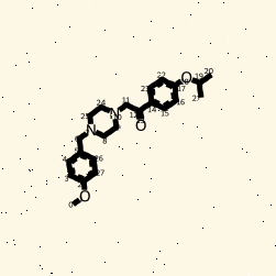 COc1ccc(CN2CCN(CC(=O)c3ccc(OC(C)C)cc3)CC2)cc1